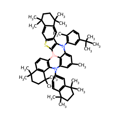 Cc1cc2c3c(c1)N(c1cc(C(C)(C)C)ccc1C)c1c(sc4cc5c(cc14)C(C)(C)CCC5(C)C)B3c1ccc3c(c1N2c1ccc2c(c1)C(C)(C)CCC2(C)C)C(C)(C)CCC3(C)C